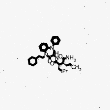 C=CC[C@H](C(N)=O)[C@@H](CC(C)C)C(=O)NC1CN(c2ccccc2)c2ccccc2N(CCC2CCCCC2)C1=O